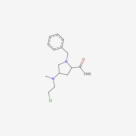 CN(CCCl)C1CC(C(=O)C=O)N(Cc2ccccc2)C1